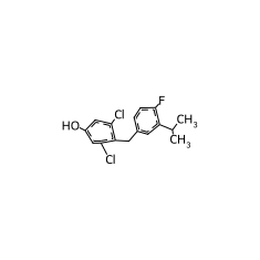 CC(C)c1cc(Cc2c(Cl)cc(O)cc2Cl)ccc1F